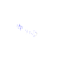 c1cnc(N2CCN3C[C@@H](Cn4cnnn4)CC[C@H]3C2)nc1